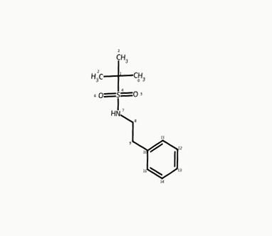 CC(C)(C)S(=O)(=O)NCCc1ccccc1